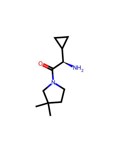 CC1(C)CCN(C(=O)[C@H](N)C2CC2)C1